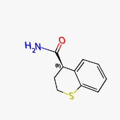 NC(=O)[C@@H]1CCSc2ccccc21